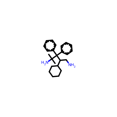 CC(C)(N)C(c1ccccc1)(c1ccccc1)C(CN)C1CCCCC1